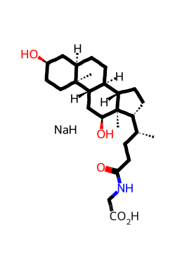 C[C@H](CCC(=O)NCC(=O)O)[C@H]1CC[C@H]2[C@@H]3CC[C@@H]4C[C@H](O)CC[C@]4(C)[C@H]3C[C@H](O)[C@]12C.[NaH]